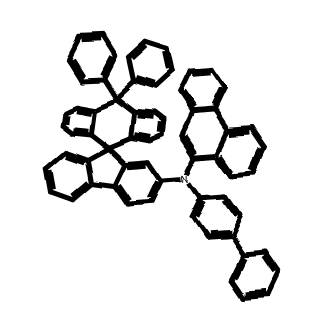 c1ccc(-c2ccc(N(c3ccc4c(c3)C3(c5ccccc5-4)c4ccccc4C(c4ccccc4)(c4ccccc4)c4ccccc43)c3cc4ccccc4c4ccccc34)cc2)cc1